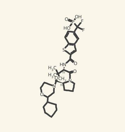 CC(C)(C)[C@H](NC(=O)c1cc2cc(C(F)(F)P(=O)(O)O)ccc2s1)C(=O)N1CCC[C@H]1C(=O)N1CCOC(C2CCCCC2)C1